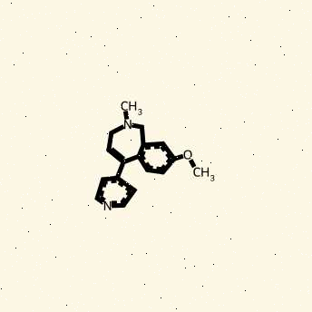 COc1ccc2c(c1)CN(C)CC=C2c1ccncc1